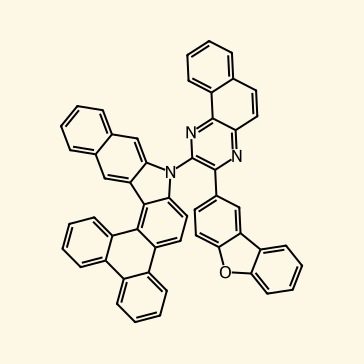 c1ccc2cc3c(cc2c1)c1c2c4ccccc4c4ccccc4c2ccc1n3-c1nc2c(ccc3ccccc32)nc1-c1ccc2oc3ccccc3c2c1